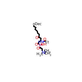 CCCCCCCCCCCCCCCCC(=O)CC(CC(=O)P(O)C(=O)CC[N+](C)(C)C)NC(=O)CC